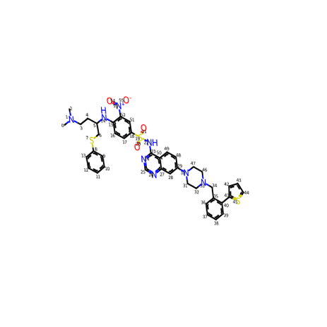 CN(C)CCC(CSc1ccccc1)Nc1ccc(S(=O)(=O)Nc2ncnc3cc(N4CCN(Cc5ccccc5-c5cccs5)CC4)ccc23)cc1[N+](=O)[O-]